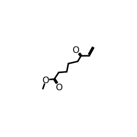 C=CC(=O)CCCCC(=O)OC